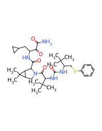 CC(C)(C)C(CSc1ccccc1)NC(=O)N[C@H](C(=O)N1CC2C(C1C(=O)NC(CC1CC1)C(=O)C(N)=O)C2(C)C)C(C)(C)C